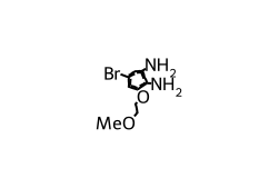 COCCOc1cc(Br)cc(N)c1N